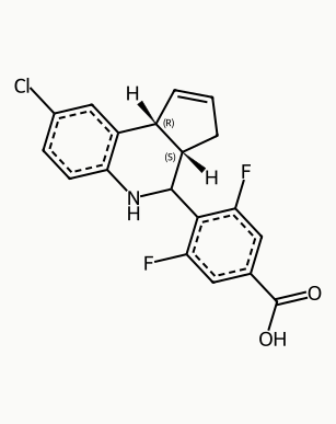 O=C(O)c1cc(F)c(C2Nc3ccc(Cl)cc3[C@@H]3C=CC[C@H]23)c(F)c1